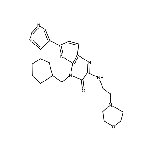 O=c1c(NCCN2CCOCC2)nc2ccc(-c3cncnc3)nc2n1CC1CCCCC1